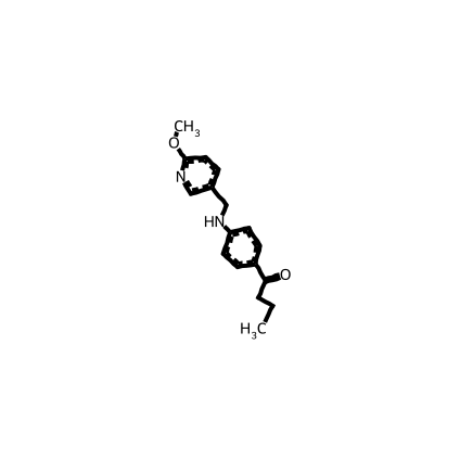 CCCC(=O)c1ccc(NCc2ccc(OC)nc2)cc1